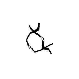 CC1(C)C[N]CC(C)(C)O1